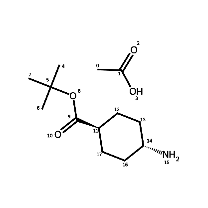 CC(=O)O.CC(C)(C)OC(=O)[C@H]1CC[C@H](N)CC1